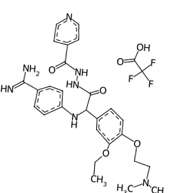 CCOc1cc(C(Nc2ccc(C(=N)N)cc2)C(=O)NNC(=O)c2ccncc2)ccc1OCCN(C)C.O=C(O)C(F)(F)F